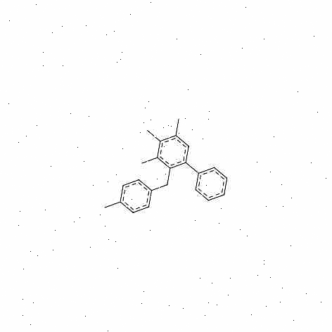 Cc1ccc(Cc2c(-c3ccccc3)cc(C)c(C)c2C)cc1